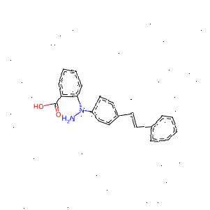 NN(c1ccc(C=Cc2ccccc2)cc1)c1ccccc1C(=O)O